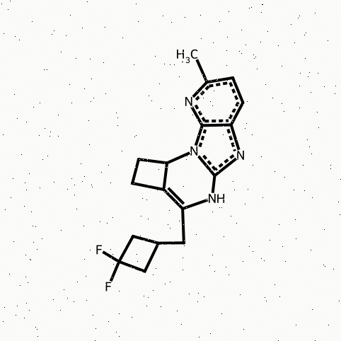 Cc1ccc2nc3n(c2n1)C1CCC1=C(CC1CC(F)(F)C1)N3